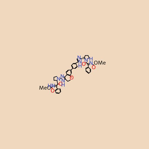 COC(=O)N[C@@H](C(=O)C1CCCN1c1nc2c([nH]1)CCOc1cc(-c3ccc(-c4cnc([C@@H]5CCCN5C(=O)[C@H](NC(=O)OC)c5ccccc5)[nH]4)cc3)ccc1-2)c1ccccc1